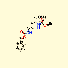 COC[C@H](CCCNC(=O)OCc1ccccc1)NC(=O)OC(C)(C)C